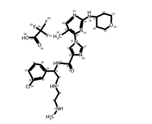 CNCCNCC(NC(=O)c1cn(-c2nc(NC3CCOCC3)ncc2C)cn1)c1cccc(Cl)c1.O=C(O)C(F)(F)F